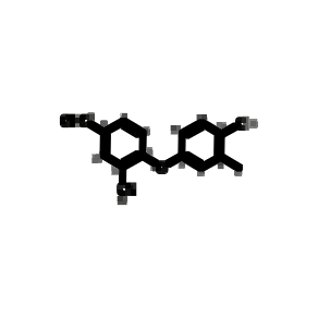 Cc1cc(Oc2ccc(C=O)cc2C#N)ccc1Cl